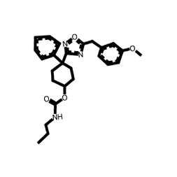 CCCNC(=O)OC1CCC(c2ccccc2)(c2noc(Cc3cccc(OC)c3)n2)CC1